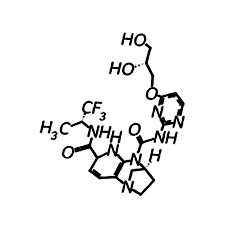 C[C@@H](NC(=O)C1C=CC2=C(N1)N(C(=O)Nc1nccc(OC[C@H](O)CO)n1)[C@H]1CCN2C1)C(F)(F)F